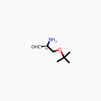 CC(C)(C)OC[C@H](N)[C]=O